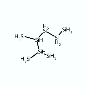 [SiH3][SiH2][SiH2][SiH]([SiH3])[SiH]([SiH3])[SiH3]